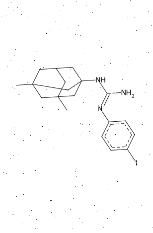 CC12CC3CC(C)(C1)CC(NC(N)=Nc1ccc(I)cc1)(C3)C2